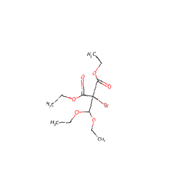 CCOC(=O)C(Br)(C(=O)OCC)C(OCC)OCC